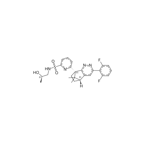 C[C@@H](O)CNS(=O)(=O)c1cccc([C@]23CC[C@@H](c4cc(-c5c(F)cccc5F)nnc42)C3(C)C)n1